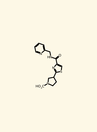 O=C(NCc1ccccn1)c1csc(C2CCN(C(=O)O)C2)n1